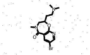 CN(C)CCC1CN(C)C(=O)c2cc(Br)cnc2O1